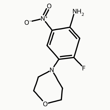 Nc1cc(F)c(N2CCOCC2)cc1[N+](=O)[O-]